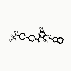 Cc1nc(NCC2Cc3ccccc3C2)c(C)c(C(=O)N2CCC(N3CCC(N(C)S(C)(=O)=O)CC3)CC2)n1